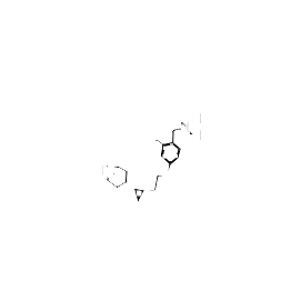 CN(C)C(=O)c1ccc(OCC[C@H]2C[C@H]2C2CCNCC2)cc1Cl